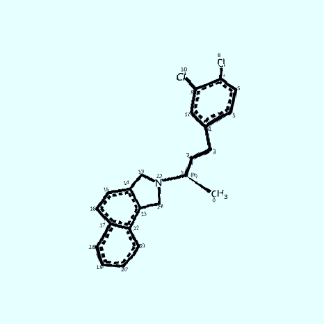 C[C@H](CCc1ccc(Cl)c(Cl)c1)N1Cc2ccc3ccccc3c2C1